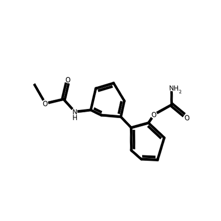 COC(=O)Nc1cccc(-c2ccccc2OC(N)=O)c1